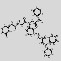 Cc1cccc(NC(=O)NCC(=O)N(CC(=O)N(C)c2ccccc2)c2cccc(OCC(=O)NC(c3ccccc3)c3ccccc3)c2)c1